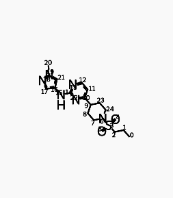 CCCS(=O)(=O)N1CCC(c2ccnc(Nc3cnn(C)c3)n2)CC1